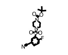 CC(C)(C)OC(=O)N1CCN(S(=O)(=O)c2cc(C#N)ccc2F)CC1